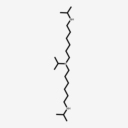 CC(C)NCCCCCCN(CCCCCCNC(C)C)C(C)C